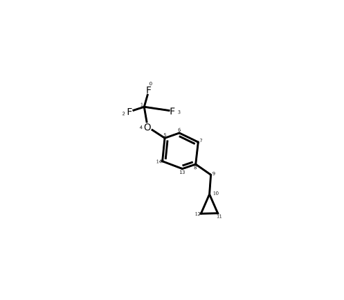 FC(F)(F)Oc1ccc(CC2CC2)cc1